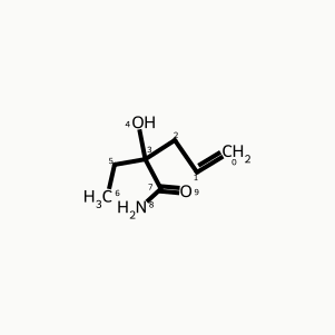 C=CCC(O)(CC)C(N)=O